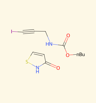 CCCCOC(=O)NCC#CI.O=c1ccs[nH]1